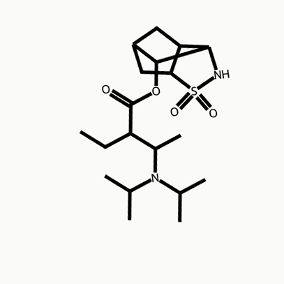 CCC(C(=O)OC1C2CC3C1NS(=O)(=O)C3C2)C(C)N(C(C)C)C(C)C